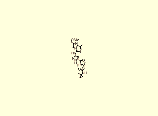 COCc1cn2c(Nc3cc([C@@H]4OC[C@H](OC(=O)NC5(C)CC5)[C@@H]4F)[nH]n3)ncc(C)c2n1